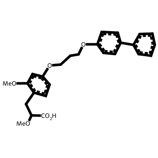 COc1cc(OCCCOc2ccc(-c3ccccc3)cc2)ccc1CC(OC)C(=O)O